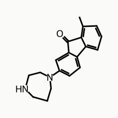 Cc1cccc2c1C(=O)c1cc(N3CCCNCC3)ccc1-2